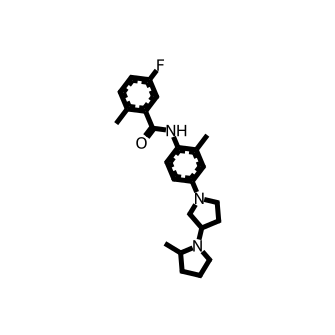 Cc1cc(N2CCC(N3CCCC3C)C2)ccc1NC(=O)c1cc(F)ccc1C